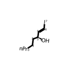 CCCCC[C@H](O)/C=C/I